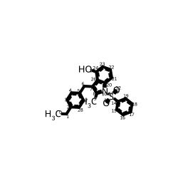 CCc1ccc(Cc2c(C)n(S(=O)(=O)c3ccccc3)c3cccc(O)c23)cc1